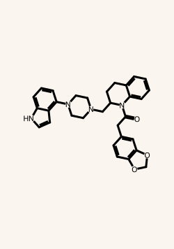 O=C(Cc1ccc2c(c1)OCO2)N1c2ccccc2CCC1CN1CCN(c2cccc3[nH]ccc23)CC1